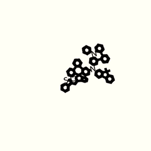 CC1(C)c2ccccc2-c2ccc(N(c3ccc4c(c3)-c3ccccc3-c3ccccc3N4c3ccccc3)c3ccc4c(c3)-c3ccccc3-c3ccccc3C43c4ccccc4-c4cc5c(cc43)sc3ccccc35)cc21